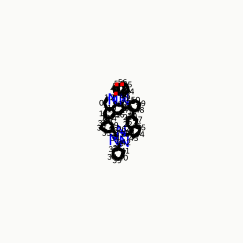 C1=CN(c2ccccc2)c2c3c1cccc3cc1c3c(-c4ccc5c(-c6nc(-c7ccccc7)nc(-c7ccccc7)n6)cccc5c4)cccc3n(-c3ccccc3)c21